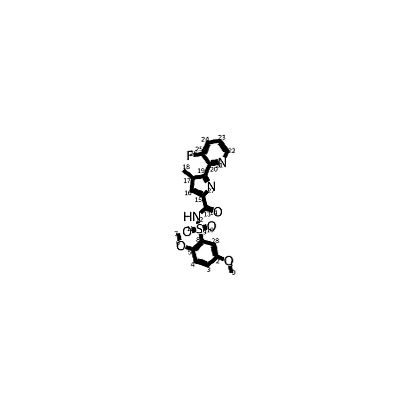 COc1ccc(OC)c(S(=O)(=O)NC(=O)C2=CC(C)C(c3ncccc3F)=N2)c1